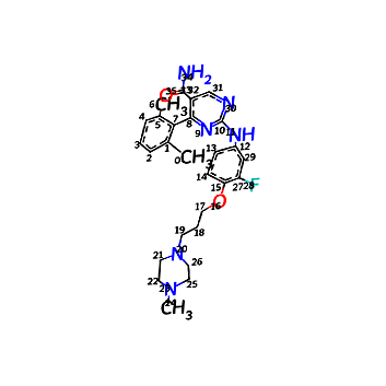 Cc1cccc(C)c1-c1nc(Nc2ccc(OCCCN3CCN(C)CC3)c(F)c2)ncc1C(N)=O